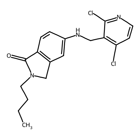 CCCCN1Cc2cc(NCc3c(Cl)ccnc3Cl)ccc2C1=O